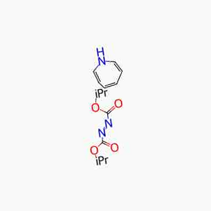 C1=CC=CNC=C1.CC(C)OC(=O)N=NC(=O)OC(C)C